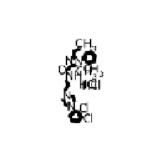 CCCc1nc(C(=O)NCCCN2CCN(c3cccc(Cl)c3Cl)CC2)c(C)n1-c1ccccc1C.Cl.Cl